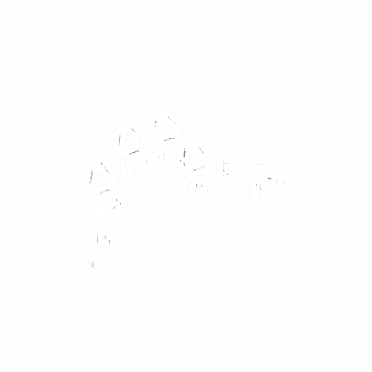 COc1nc(-c2cccc(-c3cccc(Oc4nccc5sc(CNCC=O)nc45)c3Cl)c2Cl)ccc1CNCC1CCC(=O)N1